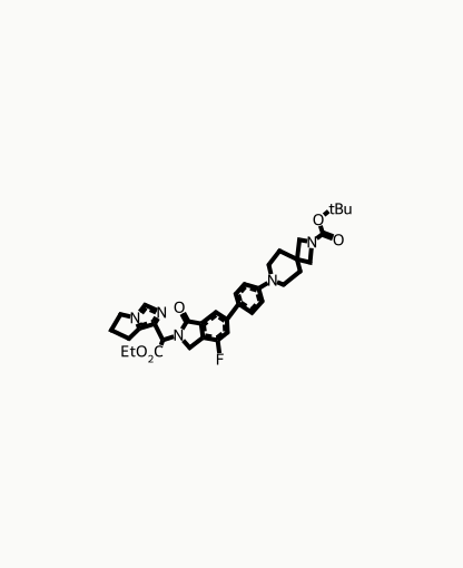 CCOC(=O)C(c1ncn2c1CCC2)N1Cc2c(F)cc(-c3ccc(N4CCC5(CC4)CN(C(=O)OC(C)(C)C)C5)cc3)cc2C1=O